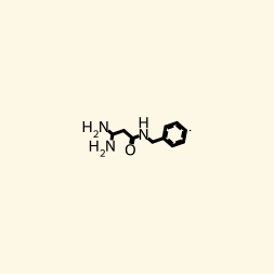 NC(N)CC(=O)NCc1cc[c]cc1